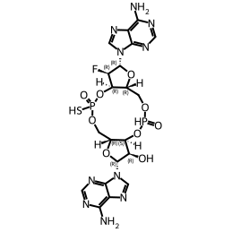 Nc1ncnc2c1ncn2[C@@H]1O[C@@H]2COP(=O)(S)O[C@H]3[C@@H](F)[C@H](n4cnc5c(N)ncnc54)O[C@@H]3CO[PH](=O)O[C@H]2[C@H]1O